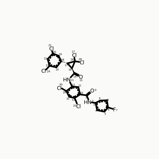 O=C(Nc1ccc(F)cc1)c1cc(NC(=O)[C@H]2[C@H](c3cc(Cl)cc(Cl)c3)C2(Cl)Cl)c(Cl)cc1Cl